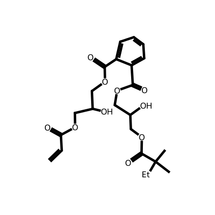 C=CC(=O)OCC(O)COC(=O)c1ccccc1C(=O)OCC(O)COC(=O)C(C)(C)CC